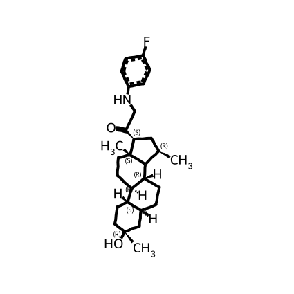 C[C@@H]1C[C@H](C(=O)CNc2ccc(F)cc2)[C@@]2(C)CC[C@@H]3[C@H]4CC[C@@](C)(O)C[C@H]4CC[C@H]3C12